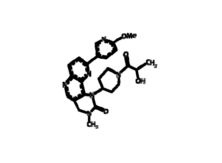 COc1ccc(-c2ccc3ncc4c(c3n2)N(C2CCN(C(=O)C(C)O)CC2)C(=O)N(C)C4)cn1